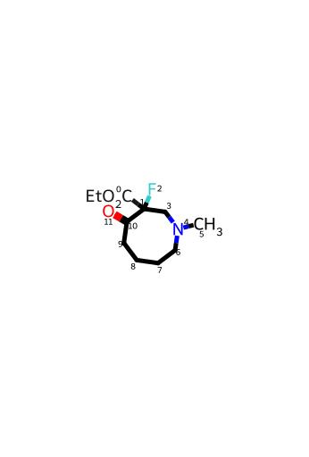 CCOC(=O)C1(F)CN(C)CCCCC1=O